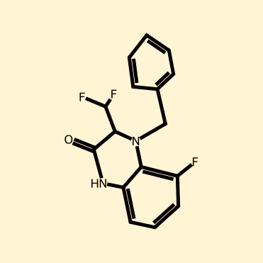 O=C1Nc2cccc(F)c2N(Cc2ccccc2)C1C(F)F